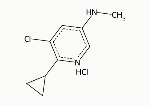 CNc1cnc(C2CC2)c(Cl)c1.Cl